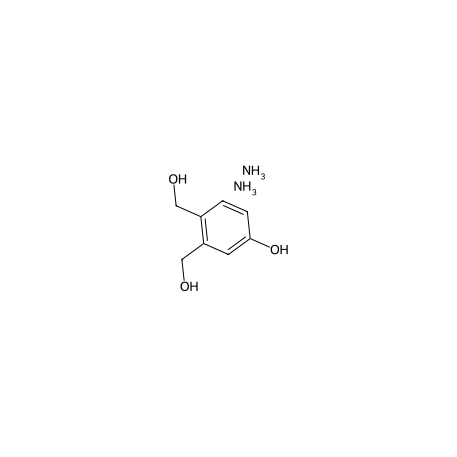 N.N.OCc1ccc(O)cc1CO